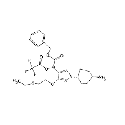 CCOCCOc1nn([C@H]2CC[C@H](N)CC2)cc1N(OC(=O)C(F)(F)F)C(=O)OCc1ccccc1